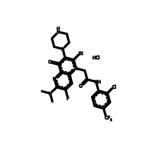 CCc1c(N2CCNCC2)c(=O)c2nc(N(C)C)c(F)cc2n1CC(=O)Nc1ccc(C(F)(F)F)cc1Cl.Cl